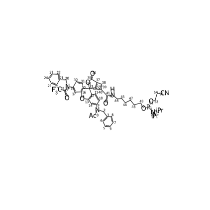 CC(=O)N(Cc1ccccc1)c1ccc2c(c1)Oc1cc(N(Cc3ccccc3)C(=O)C(F)(F)F)ccc1C21OC(=O)c2ccc(C(=O)NCCCCCCOP(OCCC#N)N(C(C)C)C(C)C)cc21